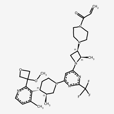 C=CC(=O)N1CCN([C@@H]2CN(c3cc(N4CC[C@@H](c5c(C)ccnc5C5(OC)COC5)[C@H](C)C4)nc(C(F)(F)F)n3)[C@@H]2C)CC1